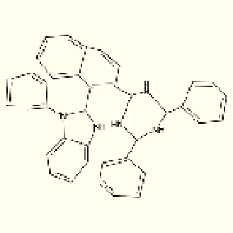 c1ccc(C2NC(c3ccccc3)NC(c3ccc4ccccc4c3C3Nc4ccccc4N3c3ccccc3)N2)cc1